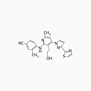 Cc1cc(-n2ccc(-c3nccs3)n2)c(CCO)c(Nc2ccc(C#N)cc2C)n1